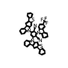 N#Cc1c(-n2c3ccccc3c3cc4c(cc32)sc2ccccc24)cc(-n2c3ccccc3c3cc4c(cc32)sc2ccccc24)c(C#N)c1-n1c2ccccc2c2cc(C(F)(F)F)ccc21